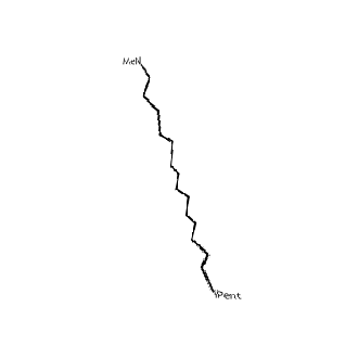 CCCC(C)CCCCCCCCCCCCCCNC